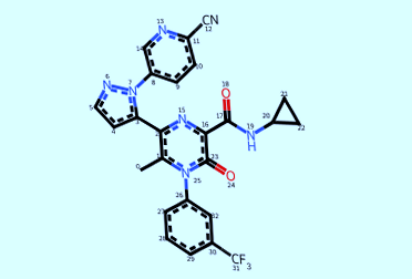 Cc1c(-c2ccnn2-c2ccc(C#N)nc2)nc(C(=O)NC2CC2)c(=O)n1-c1cccc(C(F)(F)F)c1